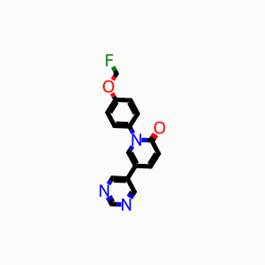 O=c1ccc(-c2cncnc2)cn1-c1ccc(OCF)cc1